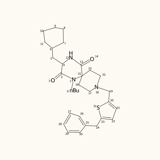 CCCCN1C(=O)C(CC2CCCCC2)NC(=O)C12CCN(Cc1ccc(Cc3ccccc3)s1)CC2